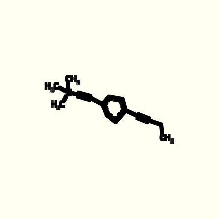 CCC#Cc1ccc(C#C[Si](C)(C)C)cc1